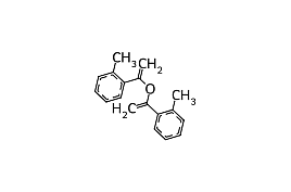 C=C(OC(=C)c1ccccc1C)c1ccccc1C